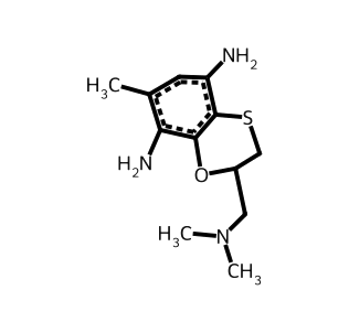 Cc1cc(N)c2c(c1N)OC(CN(C)C)CS2